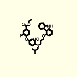 CCOC(=O)c1ccc(Oc2ccc(N(CC(C)C)C[C@H](O)COc3cccc4[nH]c5ccccc5c34)cc2)c(I)c1